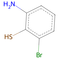 Nc1cccc(Br)c1S